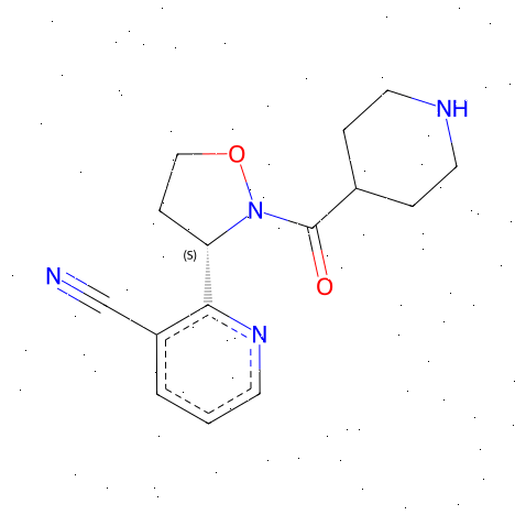 N#Cc1cccnc1[C@@H]1CCON1C(=O)C1CCNCC1